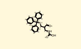 O=CC(CNC(=O)O)CSC(c1ccccc1)(c1ccccc1)c1ccccc1